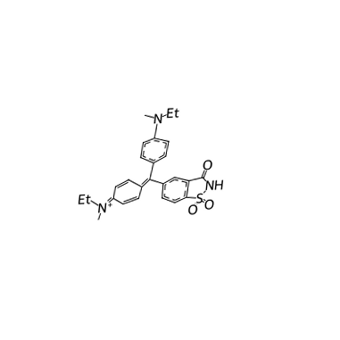 CCN(C)c1ccc(C(=C2C=CC(=[N+](C)CC)C=C2)c2ccc3c(c2)C(=O)NS3(=O)=O)cc1